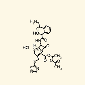 CC(=O)OC(C)OC(=O)C1=C(CSc2ncns2)CS[C@H]2C(NC(=O)C(O)c3ccccc3C(=O)CN)C(=O)N12.Cl